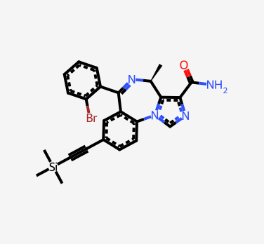 C[C@@H]1N=C(c2ccccc2Br)c2cc(C#C[Si](C)(C)C)ccc2-n2cnc(C(N)=O)c21